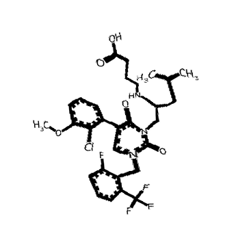 COc1cccc(-c2cn(Cc3c(F)cccc3C(F)(F)F)c(=O)n(C[C@H](CC(C)C)NCCCC(=O)O)c2=O)c1Cl